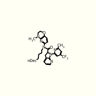 CCCCCCCCCCCCCCN(C(=O)C1Cc2cccnc2N1c1cc(C(F)(F)F)cc(C)n1)c1ccc2c(n1)N(C)CCO2